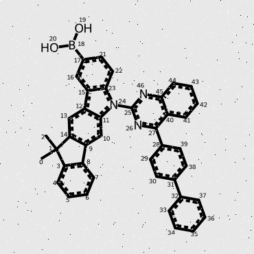 CC1(C)c2ccccc2-c2cc3c(cc21)c1cc(B(O)O)ccc1n3-c1nc(-c2ccc(-c3ccccc3)cc2)c2ccccc2n1